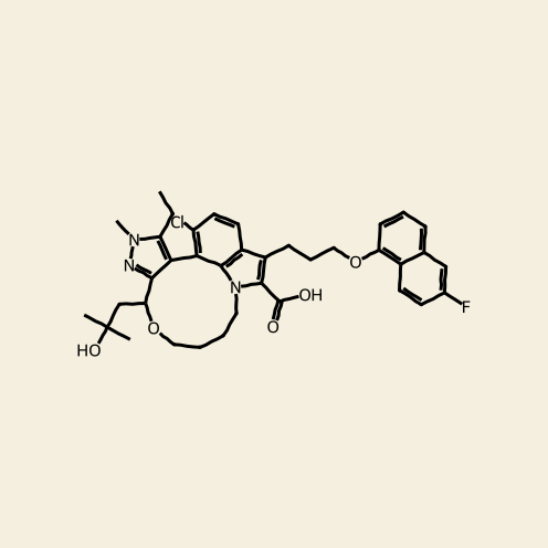 CCc1c2c(nn1C)C(CC(C)(C)O)OCCCCn1c(C(=O)O)c(CCCOc3cccc4cc(F)ccc34)c3ccc(Cl)c-2c31